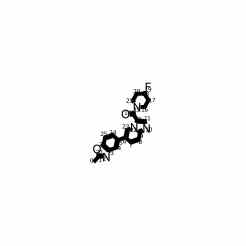 Cc1nc2cc(-c3ccc4ncc(C(=O)N5CCC(F)CC5)n4c3)ccc2o1